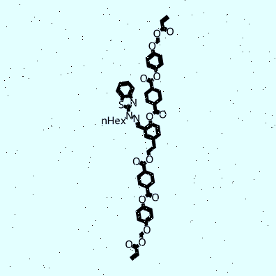 C=CC(=O)OCOc1ccc(OC(=O)C2CCC(C(=O)OCCc3ccc(OC(=O)C4CCC(C(=O)Oc5ccc(OCOC(=O)C=C)cc5)CC4)c(/C=N/N(CCCCCC)c4nc5ccccc5s4)c3)CC2)cc1